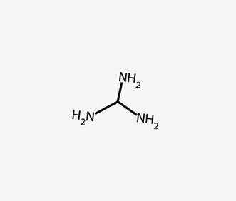 NC(N)N